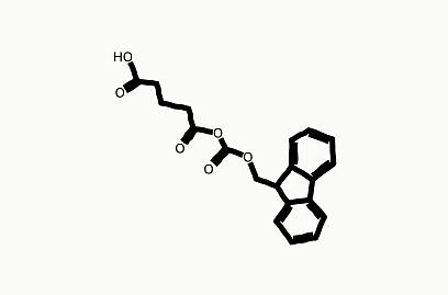 O=C(O)CCCC(=O)OC(=O)OCC1c2ccccc2-c2ccccc21